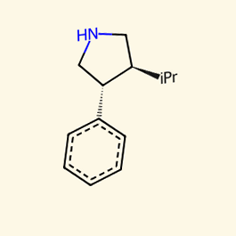 CC(C)[C@@H]1CNC[C@H]1c1ccccc1